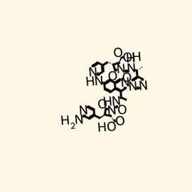 CC(NC(=O)N1C(=O)[C@H](Cc2ccnc(N)c2)[C@H]1C(=O)O)c1cncc2cc(Nc3cc(C[C@H]4C(=O)N(C(=O)N[C@H](C)c5cncnc5)[C@@H]4C(=O)O)ccn3)ccc12